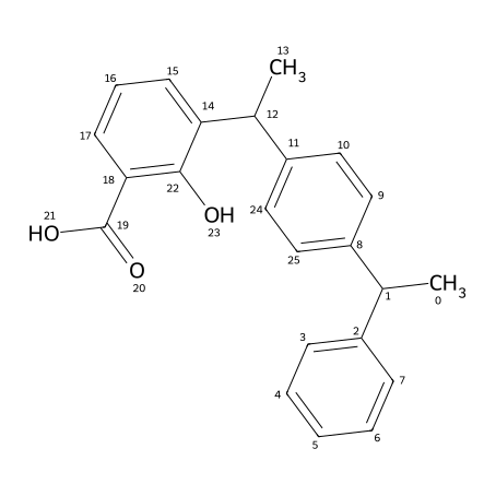 CC(c1ccccc1)c1ccc(C(C)c2cccc(C(=O)O)c2O)cc1